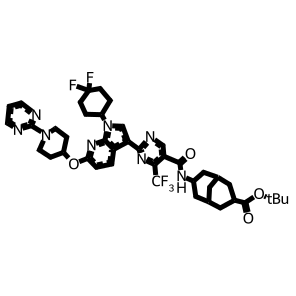 CC(C)(C)OC(=O)C1CC2CC(CC(NC(=O)c3cnc(-c4cn(C5CCC(F)(F)CC5)c5nc(OC6CCN(c7ncccn7)CC6)ccc45)nc3C(F)(F)F)C2)C1